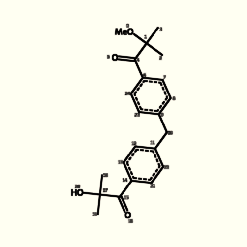 COC(C)(C)C(=O)c1ccc(Cc2ccc(C(=O)C(C)(C)O)cc2)cc1